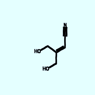 N#CC=C(CO)CO